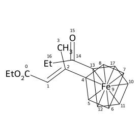 CCOC(=O)C=C(C)[C]12[CH]3[CH]4[CH]5[CH]1[Fe]45321678[CH]2[CH]1[CH]6[C]7(C(=O)CC)[CH]28